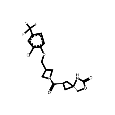 O=C1N[C@]2(CO1)C[C@H](C(=O)N1CC(COc3ccc(C(F)(F)F)cc3Cl)C1)C2